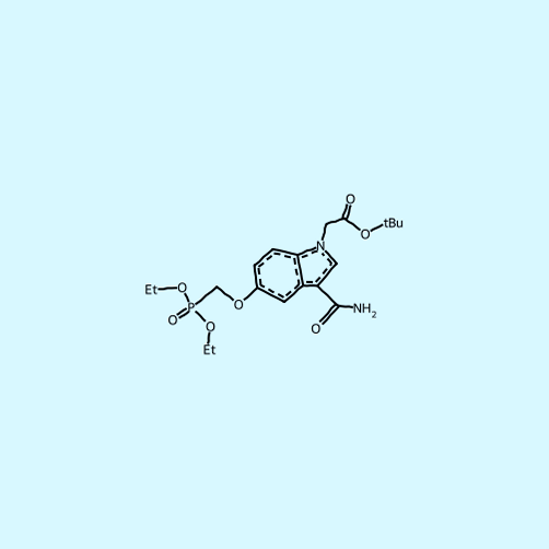 CCOP(=O)(COc1ccc2c(c1)c(C(N)=O)cn2CC(=O)OC(C)(C)C)OCC